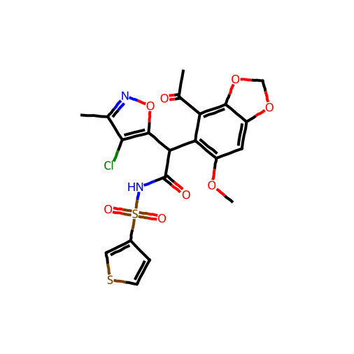 COc1cc2c(c(C(C)=O)c1C(C(=O)NS(=O)(=O)c1ccsc1)c1onc(C)c1Cl)OCO2